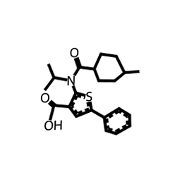 CC1CCC(C(=O)N(c2sc(-c3ccccc3)cc2C(=O)O)C(C)C)CC1